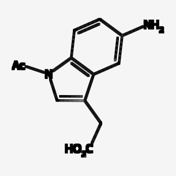 CC(=O)n1cc(CC(=O)O)c2cc(N)ccc21